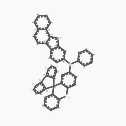 c1ccc(N(c2ccc3c(c2)C2(c4ccccc4S3)c3ccccc3-c3ccccc32)c2ccc3c(c2)sc2c4ccccc4ccc32)cc1